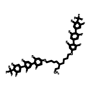 CCCC(CCCCOc1cc(F)c(-c2cc(F)c(-c3cc(F)c(C(F)(F)F)c(F)c3)c(F)c2)c(F)c1)CCCCOc1cc(F)c(-c2cc(F)c(-c3cc(F)c(C(F)(F)F)c(F)c3)c(F)c2)c(F)c1